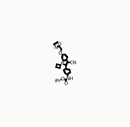 CC(C)OC(=O)Nc1ccc(-c2c(C#N)c3ccc(OCc4ncco4)cc3n2C2CCC2)cc1